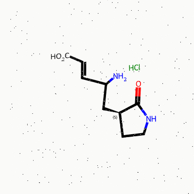 Cl.NC(C=CC(=O)O)C[C@@H]1CCNC1=O